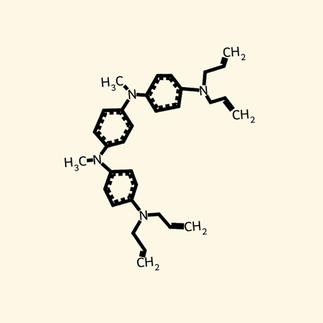 C=CCN(CC=C)c1ccc(N(C)c2ccc(N(C)c3ccc(N(CC=C)CC=C)cc3)cc2)cc1